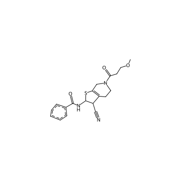 COCCC(=O)N1CCC2=C(C1)SC(NC(=O)c1ccccc1)C2C#N